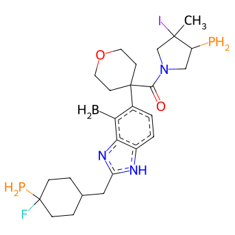 Bc1c(C2(C(=O)N3CC(P)C(C)(I)C3)CCOCC2)ccc2[nH]c(CC3CCC(F)(P)CC3)nc12